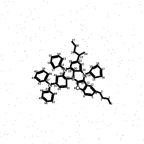 CCCCc1ccc2oc3c(c2c1)N(c1ccccc1)c1cc(C(C)CCC)cc2c1B3c1ccc(N(c3ccccc3)c3ccccc3)cc1N2c1ccccc1